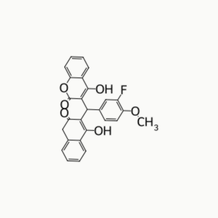 COc1ccc(C(C2=C(O)c3ccccc3CC2=O)c2c(O)c3ccccc3oc2=O)cc1F